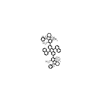 Cc1cc(-c2ccc3c(-c4cccc5ccccc45)c4cc(-c5cc(C)c6c(c5C)N(c5ccccc5)C5(C)CCCCC65C)ccc4c(-c4cccc5ccccc45)c3c2)c(C)c2c1N(c1ccccc1)C1(C)CCCCC21C